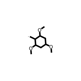 [CH2]C1C(OC)CC(OC)CC1OC